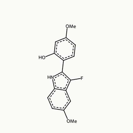 COc1ccc(-c2[nH]c3ccc(OC)cc3c2F)c(O)c1